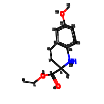 CCOC(=O)C1(C)CCc2cc(OC)ccc2N1